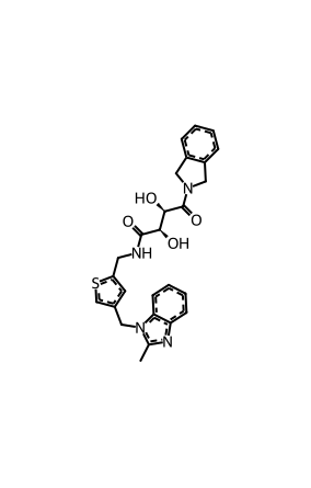 Cc1nc2ccccc2n1Cc1csc(CNC(=O)[C@H](O)[C@@H](O)C(=O)N2Cc3ccccc3C2)c1